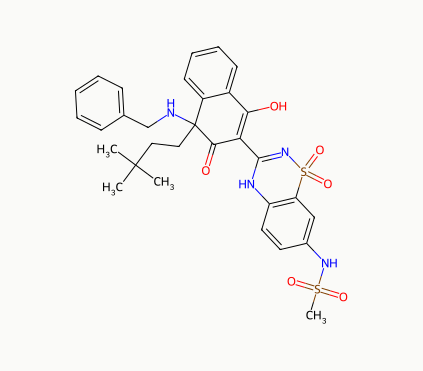 CC(C)(C)CCC1(NCc2ccccc2)C(=O)C(C2=NS(=O)(=O)c3cc(NS(C)(=O)=O)ccc3N2)=C(O)c2ccccc21